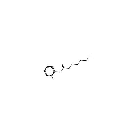 Cc1cc[c]cc1NC(=O)CCCCCN